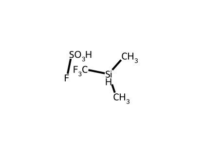 C[SiH](C)C(F)(F)F.O=S(=O)(O)F